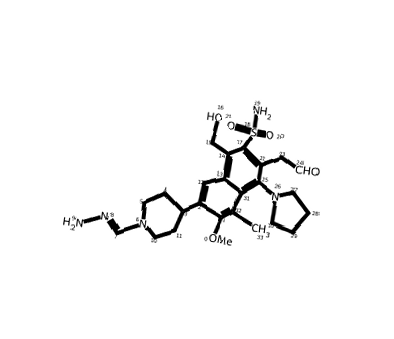 COc1c(C2CCN(C=NN)CC2)cc2c(CO)c(S(N)(=O)=O)c(CC=O)c(N3CCCC3)c2c1C